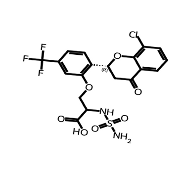 NS(=O)(=O)NC(COc1cc(C(F)(F)F)ccc1[C@H]1CC(=O)c2cccc(Cl)c2O1)C(=O)O